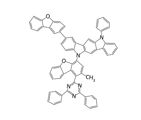 Cc1cc(-n2c3ccc(-c4ccc5oc6ccccc6c5c4)cc3c3cc4c(cc32)c2ccccc2n4-c2ccccc2)c2oc3ccccc3c2c1-c1nc(-c2ccccc2)nc(-c2ccccc2)n1